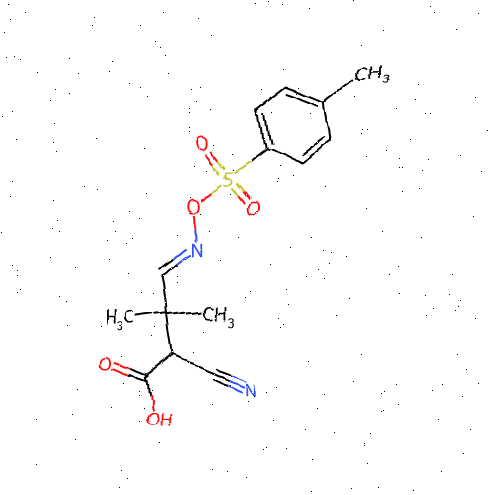 Cc1ccc(S(=O)(=O)ON=CC(C)(C)C(C#N)C(=O)O)cc1